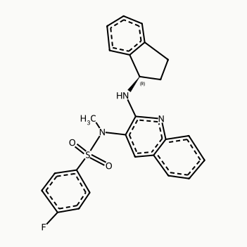 CN(c1cc2ccccc2nc1N[C@@H]1CCc2ccccc21)S(=O)(=O)c1ccc(F)cc1